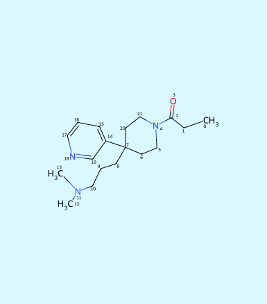 CCC(=O)N1CCC(CCCN(C)C)(c2cccnc2)CC1